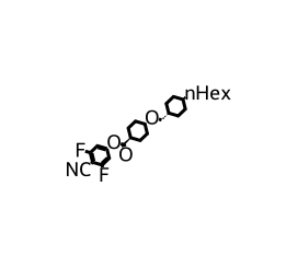 CCCCCC[C@H]1CC[C@H](CO[C@H]2CC[C@H](C(=O)Oc3cc(F)c(C#N)c(F)c3)CC2)CC1